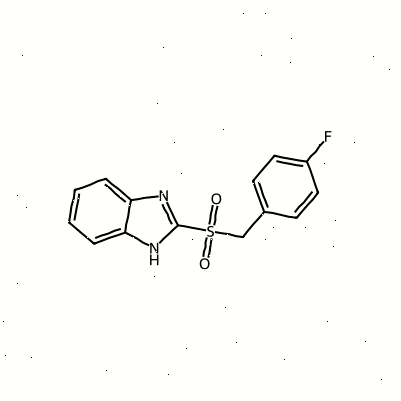 O=S(=O)(Cc1ccc(F)cc1)c1nc2ccccc2[nH]1